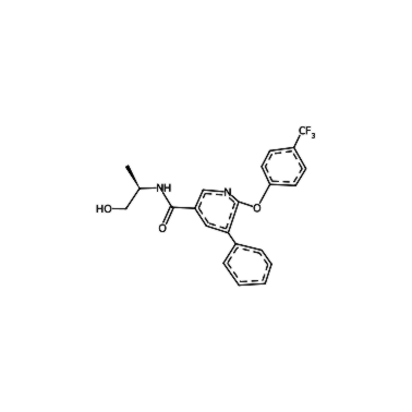 C[C@H](CO)NC(=O)c1cnc(Oc2ccc(C(F)(F)F)cc2)c(-c2ccccc2)c1